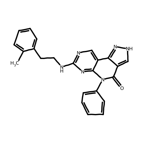 Cc1ccccc1CCNc1ncc2c3n[nH]cc3c(=O)n(-c3ccccc3)c2n1